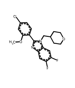 COc1cc(Cl)ccc1-c1nc2cc(F)c(F)cc2n1CC1CCOCC1